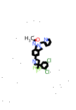 CC(=O)N=C1c2ccc(C3CC(c4cc(Cl)cc(Cl)c4)(C(F)(F)F)C=N3)cc2CN1Cc1ccccn1